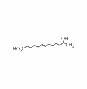 CC(O)CCCCC=CCCCCC(=O)O